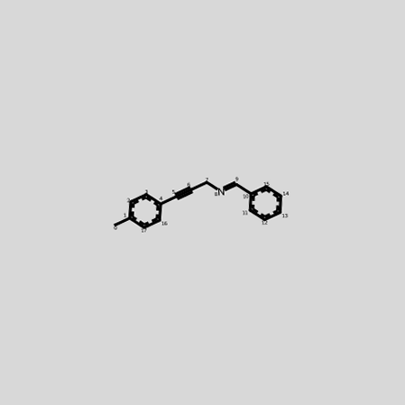 Cc1ccc(C#CCN=Cc2ccccc2)cc1